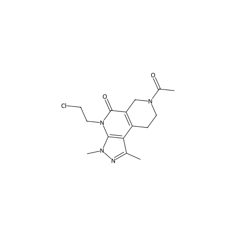 CC(=O)N1CCc2c(c(=O)n(CCCl)c3c2c(C)nn3C)C1